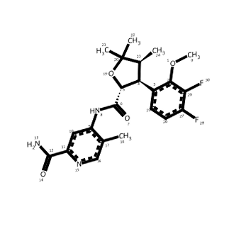 COc1c([C@H]2[C@H](C(=O)Nc3cc(C(N)=O)ncc3C)OC(C)(C)[C@H]2C)ccc(F)c1F